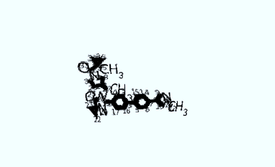 Cc1cc(-c2ccc(-c3cnn(C)c3)cc2)ccc1C1=NC2(CC2)C(=O)N1CC1CCN(C(=O)C2(C)CC2)C1